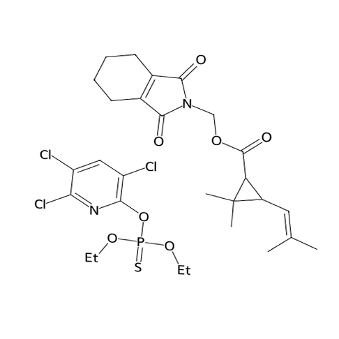 CC(C)=CC1C(C(=O)OCN2C(=O)C3=C(CCCC3)C2=O)C1(C)C.CCOP(=S)(OCC)Oc1nc(Cl)c(Cl)cc1Cl